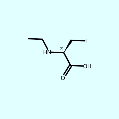 CCN[C@@H](CI)C(=O)O